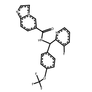 O=C(NC(c1ccc(OC(F)(F)F)cc1)c1ncccc1F)c1ccc2nccn2c1